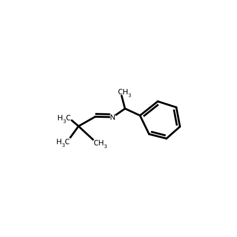 CC(/N=C/C(C)(C)C)c1ccccc1